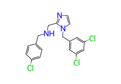 Clc1ccc(CNCc2nccn2Cc2cc(Cl)cc(Cl)c2)cc1